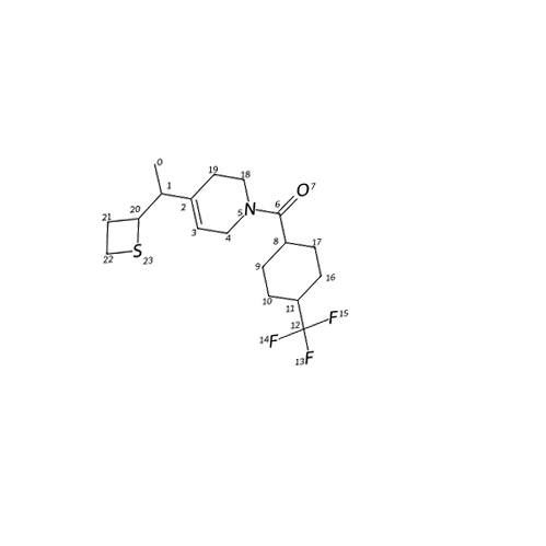 CC(C1=CCN(C(=O)C2CCC(C(F)(F)F)CC2)CC1)C1CCS1